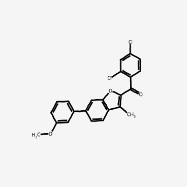 COc1cccc(-c2ccc3c(C)c(C(=O)c4ccc(Cl)cc4Cl)oc3c2)c1